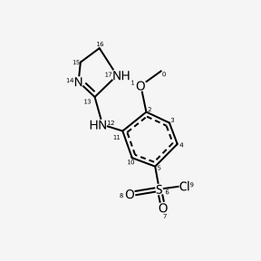 COc1ccc(S(=O)(=O)Cl)cc1NC1=NCCN1